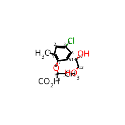 Cc1cc(Cl)ccc1OC(C)C(=O)O.OCCO